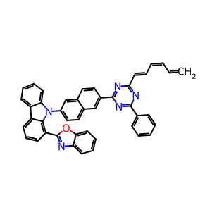 C=C/C=C\C=C\c1nc(-c2ccccc2)nc(-c2ccc3cc(-n4c5ccccc5c5cccc(-c6nc7ccccc7o6)c54)ccc3c2)n1